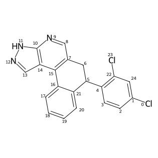 Clc1ccc(C2Cc3cnc4[nH]ncc4c3-c3ccccc32)c(Cl)c1